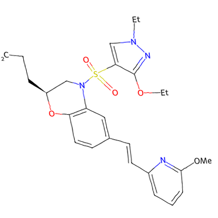 CCOc1nn(CC)cc1S(=O)(=O)N1C[C@H](CCC(=O)O)Oc2ccc(/C=C/c3cccc(OC)n3)cc21